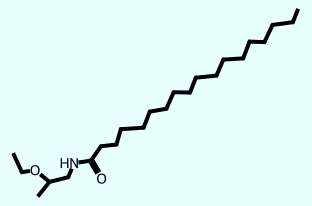 CCCCCCCCCCCCCCCCCC(=O)NCC(C)OCC